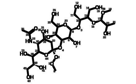 COO[C@@]1(OC2C(O)[C@H](O[C@@H](CO)C(CO)O[C@@H](OC)C(C)O)OC(CO)[C@@H]2O)CC(O)[C@@H](NC(C)=O)C([C@H](O)[C@H](O)CO)O1